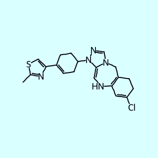 Cc1nc(C2=CCC(N3N=CN4CC5=C(C=C(Cl)CC5)NC=C43)CC2)cs1